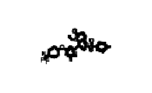 CCn1c(=O)ccc2c1c(-c1cc(OC3CCC(C(F)(F)F)CC3)cc(C)n1)cn2S(=O)(=O)c1ccc(C)cc1